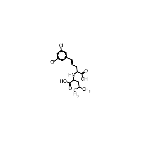 CC(C)CC(NC(CC=Cc1cc(Cl)cc(Cl)c1)C(=O)O)C(=O)O